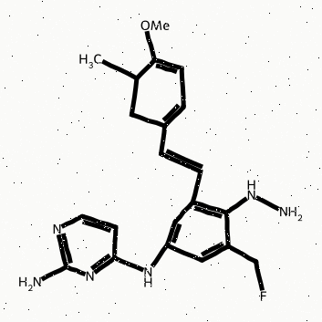 COC1=CC=C(/C=C/c2cc(Nc3ccnc(N)n3)cc(CF)c2NN)CC1C